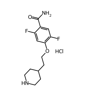 Cl.NC(=O)c1cc(F)c(OCCC2CCNCC2)cc1F